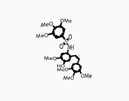 COc1cc(NS(=O)(=O)c2cc(OC)c(OC)c(OC)c2)c(/C=C\c2cc(OC)c(OC)c(OC)c2)cc1O